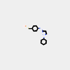 O=[S+]Cc1ccc(Nc2ccn(-c3ccccc3)n2)cc1